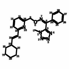 Cn1nnnc1C(=NOCc1cccc(/C=C/C2CCCCC2)n1)c1ccccc1